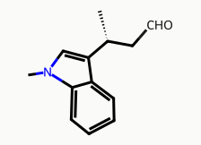 C[C@H](CC=O)c1cn(C)c2ccccc12